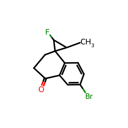 CC1C(F)C12CCC(=O)c1cc(Br)ccc12